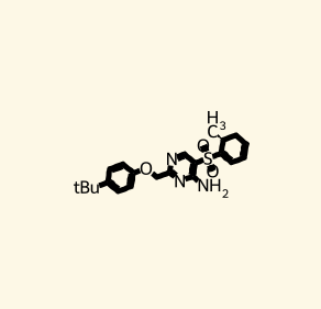 C[C@@H]1CC=CC=C1S(=O)(=O)c1cnc(COc2ccc(C(C)(C)C)cc2)nc1N